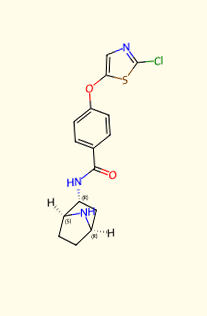 O=C(N[C@@H]1C[C@H]2CC[C@@H]1N2)c1ccc(Oc2cnc(Cl)s2)cc1